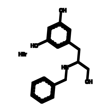 Br.OCC(Cc1cc(O)cc(O)c1)NCc1ccccc1